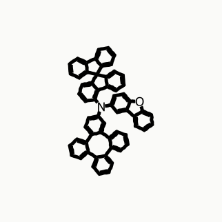 c1ccc2c(c1)-c1ccccc1-c1ccc(N(c3ccc4oc5ccccc5c4c3)c3cccc4c3-c3ccccc3C43c4ccccc4-c4ccccc43)cc1-c1ccccc1-2